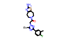 CCC(C)c1nc(-c2ccc(F)c(C)c2)nn1CC(=O)N1CCc2nc(N)sc2CC1